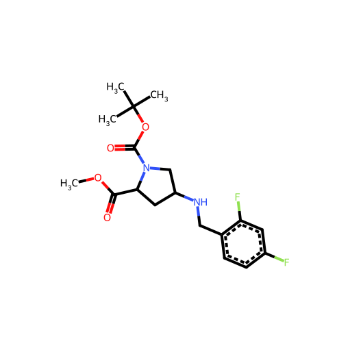 COC(=O)C1CC(NCc2ccc(F)cc2F)CN1C(=O)OC(C)(C)C